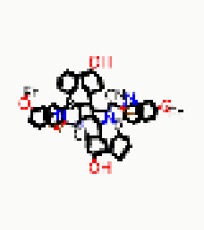 CCOc1ccc2sc(/C(C#N)=c3/c4c(c(-c5ccc(O)cc5)n3B(c3ccccc3)c3ccccc3)/C(=C(\C#N)c3nc5cc(OCC)ccc5s3)C(B(c3ccccc3)c3ccccc3)C=4c3ccc(O)cc3)nc2c1